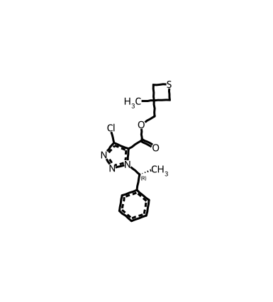 C[C@H](c1ccccc1)n1nnc(Cl)c1C(=O)OCC1(C)CSC1